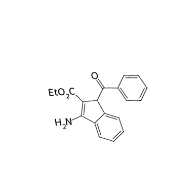 CCOC(=O)C1=C(N)c2ccccc2C1C(=O)c1ccccc1